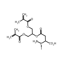 BP(I)C(CC(=O)OC(COC(=O)C(=C)C)COC(=O)C(=C)C)C(=O)O